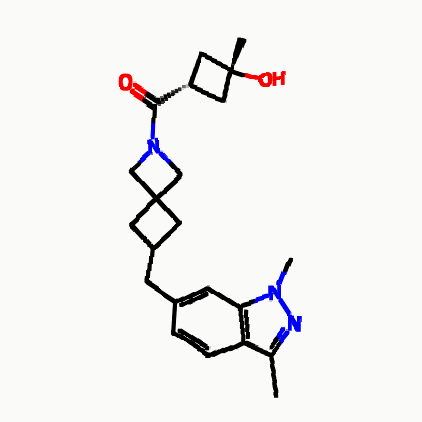 Cc1nn(C)c2cc(CC3CC4(C3)CN(C(=O)[C@H]3C[C@@](C)(O)C3)C4)ccc12